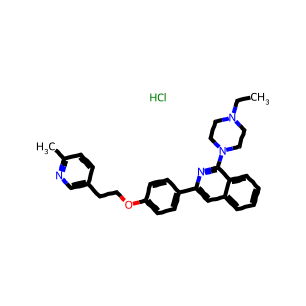 CCN1CCN(c2nc(-c3ccc(OCCc4ccc(C)nc4)cc3)cc3ccccc23)CC1.Cl